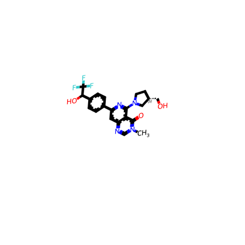 Cn1cnc2cc(-c3ccc(C(O)C(F)(F)F)cc3)nc(N3CC[C@H](CO)C3)c2c1=O